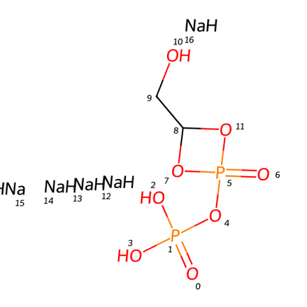 O=P(O)(O)OP1(=O)OC(CO)O1.[NaH].[NaH].[NaH].[NaH].[NaH]